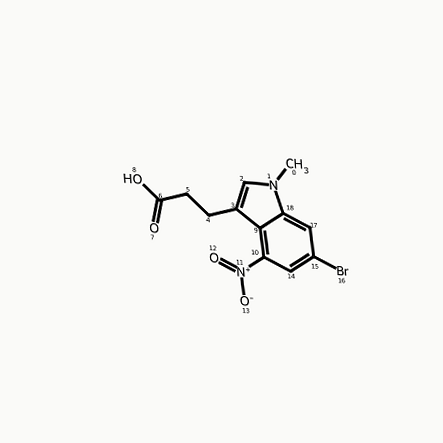 Cn1cc(CCC(=O)O)c2c([N+](=O)[O-])cc(Br)cc21